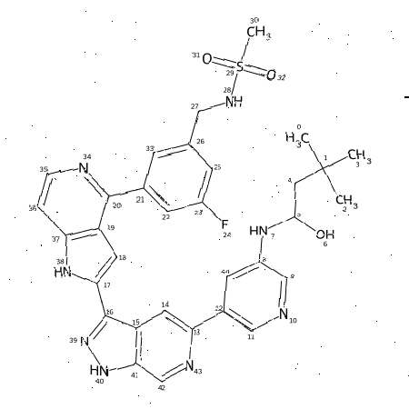 CC(C)(C)CC(O)Nc1cncc(-c2cc3c(-c4cc5c(-c6cc(F)cc(CNS(C)(=O)=O)c6)nccc5[nH]4)n[nH]c3cn2)c1